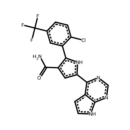 NC(=O)c1cc(-c2ncnc3[nH]ccc23)[nH]c1-c1cc(C(F)(F)F)ccc1Cl